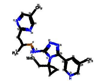 COCC1(n2c(NSC(C)Cc3ncc(C)cn3)nnc2C2=CNCC(C)=C2)CC1